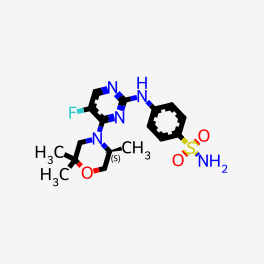 C[C@H]1COC(C)(C)CN1c1nc(Nc2ccc(S(N)(=O)=O)cc2)ncc1F